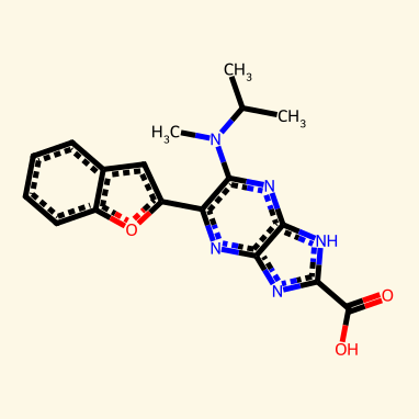 CC(C)N(C)c1nc2[nH]c(C(=O)O)nc2nc1-c1cc2ccccc2o1